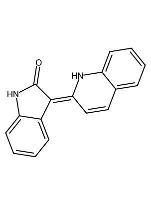 O=C1Nc2ccccc2C1=C1C=Cc2ccccc2N1